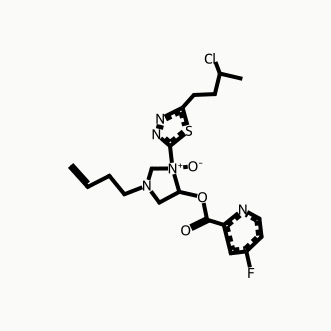 C=CCCN1CC(OC(=O)c2cc(F)ccn2)[N+]([O-])(c2nnc(CCC(C)Cl)s2)C1